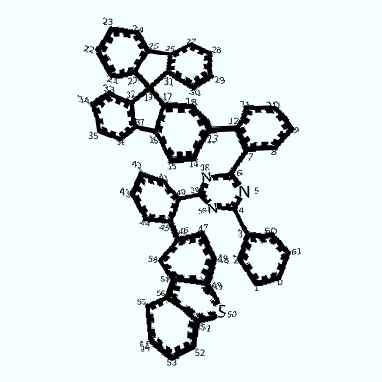 c1ccc(-c2nc(-c3ccccc3-c3ccc4c(c3)C3(c5ccccc5-c5ccccc53)c3ccccc3-4)nc(-c3ccccc3-c3ccc4sc5ccccc5c4c3)n2)cc1